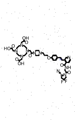 N#C[C@@H]1CC(F)(F)CN1C(=O)CNC(=O)c1ccncc1/C=C/c1ccc(OCCCN2CCN(C(=O)CN3CCN(CC(=O)O)CCN(CC(=O)O)CCN(CC(=O)O)CC3)CC2)cc1